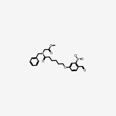 COC(=O)CN(Cc1ccccc1)C(=O)CCCCCOc1ccc(C=O)c([N+](=O)[O-])c1